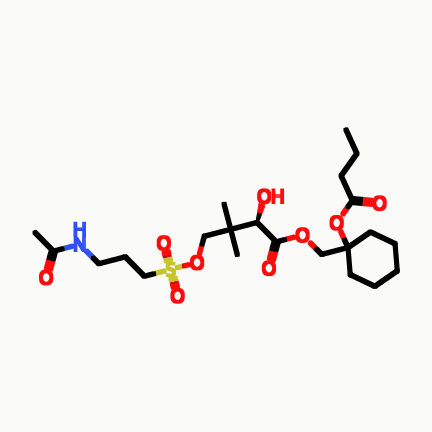 CCCC(=O)OC1(COC(=O)[C@H](O)C(C)(C)COS(=O)(=O)CCCNC(C)=O)CCCCC1